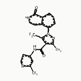 Cc1nn(-c2cccc3c(=O)[nH]ccc23)c(C(F)(F)F)c1C(=O)Nc1ccnc(C(F)(F)F)c1